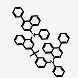 CC(C)(c1cccc(N(c2ccccc2)c2ccc(-c3ccccc3)c3ccccc23)c1)c1cc(N(c2ccccc2)c2ccc(-c3ccccc3)c3ccccc23)c2ccccc2c1